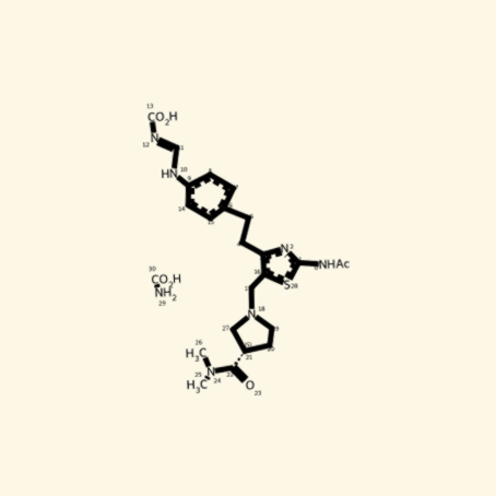 CC(=O)Nc1nc(CCc2ccc(NC=NC(=O)O)cc2)c(CN2CC[C@H](C(=O)N(C)C)C2)s1.NC(=O)O